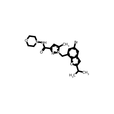 Cc1cc(C(=O)NN2CCOCC2)nn1Cc1cc(Br)cc2cc(C(C)C)oc12